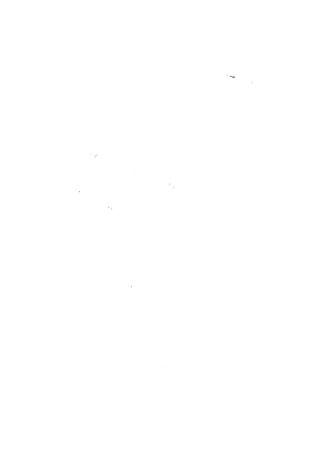 C[C@H](O)CCc1ccc(-c2c(C#N)c(N)nc(SCc3coc(-c4cccc(F)c4)n3)c2C#N)cc1